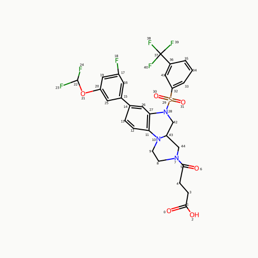 O=C(O)CCC(=O)N1CCN2c3ccc(-c4cc(F)cc(OC(F)F)c4)cc3N(S(=O)(=O)c3cccc(C(F)(F)F)c3)CC2C1